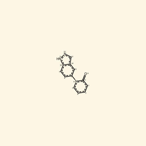 O=c1ccccn1-c1ccc2[nH]ncc2c1